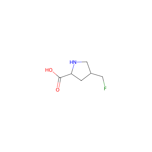 O=C(O)C1CC(CF)CN1